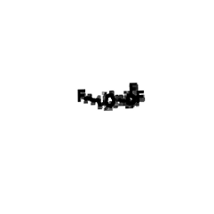 F/C=C/CCC[C@H]1CC[C@H](CCc2ccc(F)c(F)c2)CC1